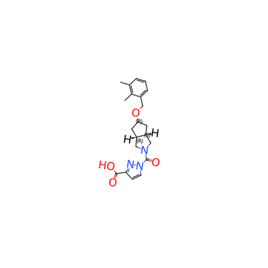 Cc1cccc(CO[C@@H]2C[C@@H]3CN(C(=O)n4ccc(C(=O)O)n4)C[C@@H]3C2)c1C